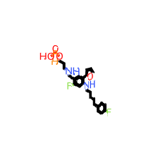 O=[PH](O)OCCCNCc1cc(-c2ccco2)c(NCCCCCc2ccc(F)cc2)cc1F